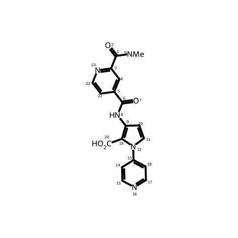 CNC(=O)c1cc(C(=O)Nc2ccn(-c3ccncc3)c2C(=O)O)ccn1